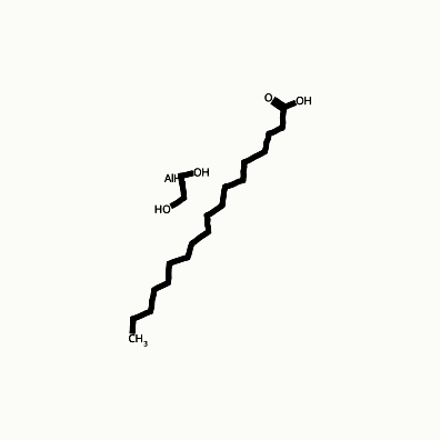 CCCCCCCCCCCCCCCCCC(=O)O.OCCO.[AlH3]